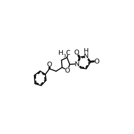 CC1CC(CC(=O)c2ccccc2)OC1n1ccc(=O)[nH]c1=O